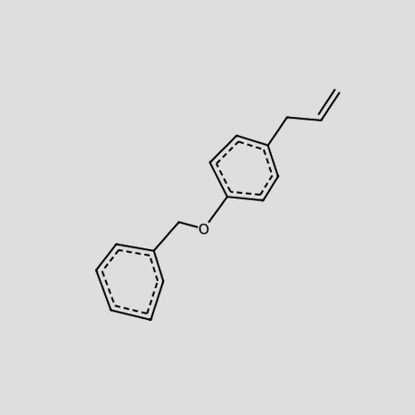 C=CCc1ccc(OCc2ccccc2)cc1